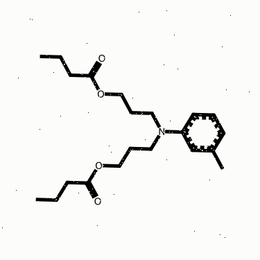 CCCC(=O)OCCCN(CCCOC(=O)CCC)c1cccc(C)c1